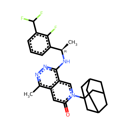 Cc1nnc(N[C@H](C)c2cccc(C(F)F)c2F)c2cn(C34CC5CC(CC(C5)C3)C4)c(=O)cc12